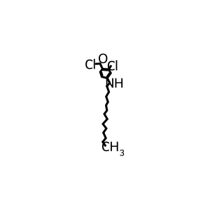 CCCCCCCCCCCCCCNc1ccc(C(=O)Cl)c(Cl)c1